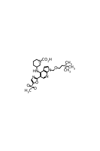 C[Si](C)(C)CCOCn1ccc2c(NC3CCCN(C(=O)O)C3)c(-c3ncc(S(C)(=O)=O)o3)cnc21